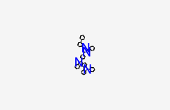 c1ccc(-c2cccc(-c3cc(-c4ccc(-c5nc6ccccc6c6c5ccc5c6c6ccccc6n5-c5ccccc5)cc4)nc(-c4ccccc4)n3)c2)cc1